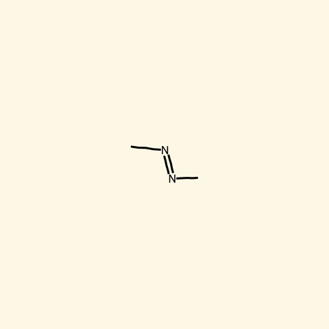 C/N=N/C